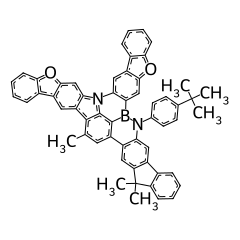 Cc1cc2c3c4c1c1cc5c(cc1n4-c1cc4c(cc1B3N(c1ccc(C(C)(C)C)cc1)c1cc3c(cc1-2)C(C)(C)c1ccccc1-3)oc1ccccc14)oc1ccccc15